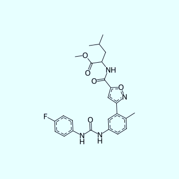 COC(=O)C(CC(C)C)NC(=O)c1cc(-c2cc(NC(=O)Nc3ccc(F)cc3)ccc2C)no1